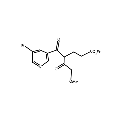 CCOC(=O)CCC(C(=O)COC)C(=O)c1cncc(Br)c1